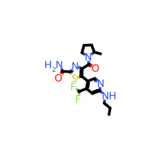 CCCNc1cc(C(F)F)c(-c2sc(C(N)=O)nc2C(=O)N2CCCC2C)cn1